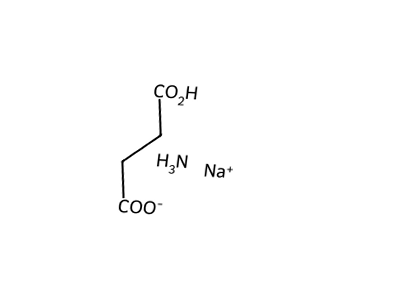 N.O=C([O-])CCC(=O)O.[Na+]